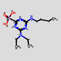 CCCCNc1nc(N(CC)CC)nc(P(=O)(O)O)n1